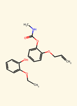 C=CCOc1ccccc1OC(=O)NC.CCOc1ccccc1O